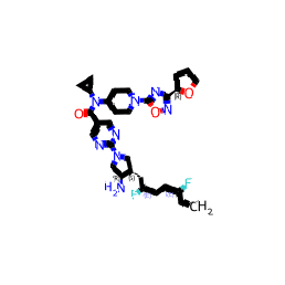 C=C/C(F)=C\C=C(\F)C[C@H]1CN(c2ncc(C(=O)N(C3CC3)C3CCN(c4nc([C@H]5CCCO5)no4)CC3)cn2)C[C@@H]1N